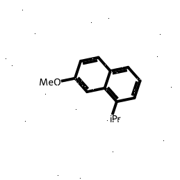 COc1ccc2cccc(C(C)C)c2c1